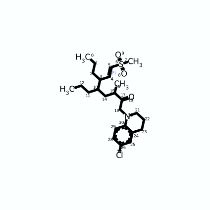 CCCC(/C=C/S(C)(=O)=O)C(CCC)CC(C)C(=O)CN1CCCc2cc(Cl)ccc21